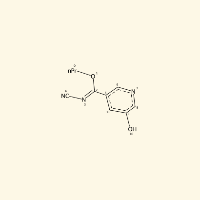 CCCO/C(=N\C#N)c1cncc(O)c1